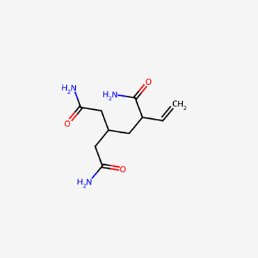 C=CC(CC(CC(N)=O)CC(N)=O)C(N)=O